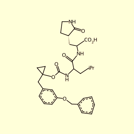 CC(C)CC(NC(=O)OC1(Cc2cccc(OCc3ccccc3)c2)CC1)C(=O)NC(C[C@@H]1CCNC1=O)C(=O)O